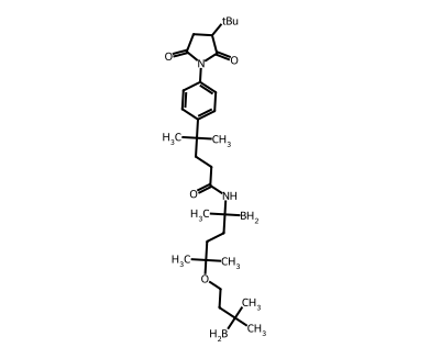 BC(C)(C)CCOC(C)(C)CCC(B)(C)NC(=O)CCC(C)(C)c1ccc(N2C(=O)CC(C(C)(C)C)C2=O)cc1